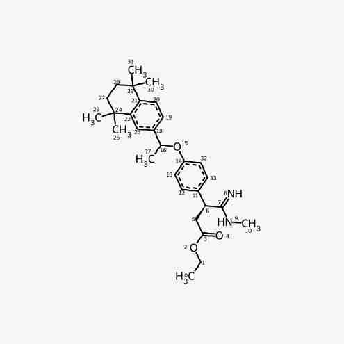 CCOC(=O)C[C@H](C(=N)NC)c1ccc(OC(C)c2ccc3c(c2)C(C)(C)CCC3(C)C)cc1